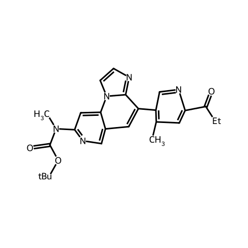 CCC(=O)c1cc(C)c(-c2cc3cnc(N(C)C(=O)OC(C)(C)C)cc3n3ccnc23)cn1